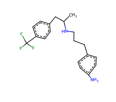 CC(Cc1ccc(C(F)(F)F)cc1)NCCCc1ccc(N)cc1